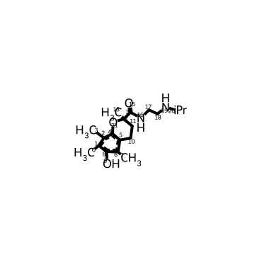 Cc1c(C)c2c(c(C)c1O)CCC(C)(C(=O)NCCNC(C)C)O2